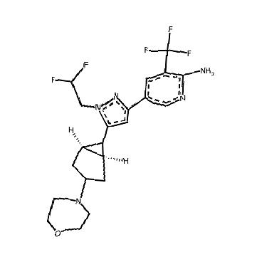 Nc1ncc(-c2cc(C3[C@H]4CC(N5CCOCC5)C[C@@H]34)n(CC(F)F)n2)cc1C(F)(F)F